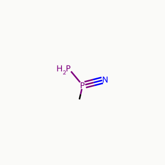 CP(#N)P